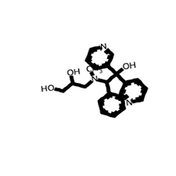 CN(CC(O)CO)C(c1ccccc1)C(O)(c1cccnc1)c1cccnc1